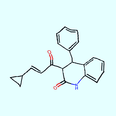 O=C(/C=C/C1CC1)C1C(=O)Nc2ccccc2C1c1ccccc1